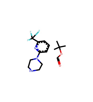 CC(C)(C)OC=O.FC(F)(F)c1cccc(N2CCNCC2)n1